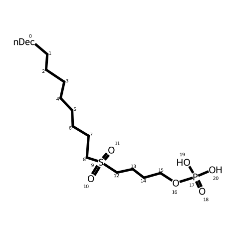 CCCCCCCCCCCCCCCCCCS(=O)(=O)CCCCOP(=O)(O)O